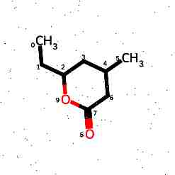 CCC1CC(C)CC(=O)O1